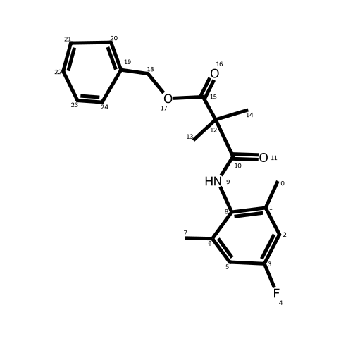 Cc1cc(F)cc(C)c1NC(=O)C(C)(C)C(=O)OCc1ccccc1